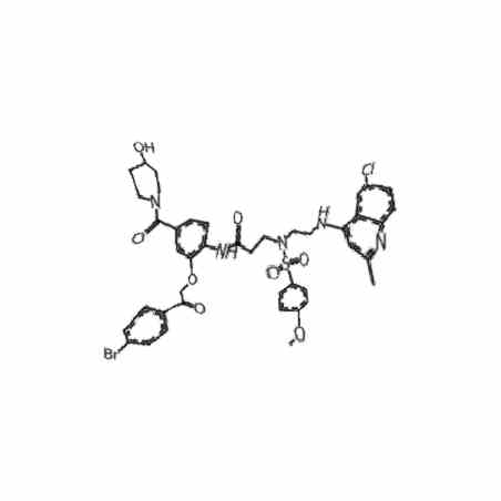 COc1ccc(S(=O)(=O)N(CCNc2cc(C)nc3ccc(Cl)cc23)CCC(=O)Nc2ccc(C(=O)N3CCC(O)CC3)cc2OCC(=O)c2ccc(Br)cc2)cc1